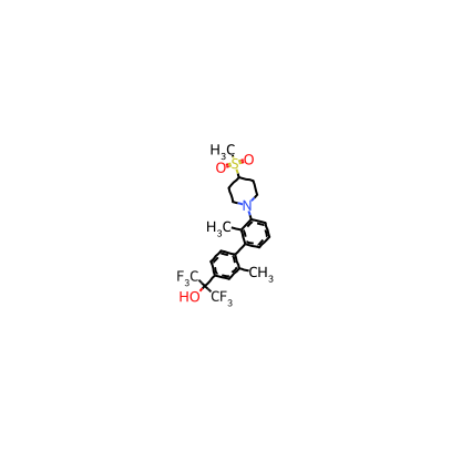 Cc1cc(C(O)(C(F)(F)F)C(F)(F)F)ccc1-c1cccc(N2CCC(S(C)(=O)=O)CC2)c1C